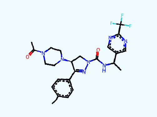 CC(=O)N1CCN([C@H]2CN(C(=O)NC(C)c3cnc(C(F)(F)F)nc3)N=C2c2ccc(C)cc2)CC1